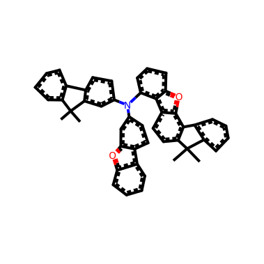 CC1(C)c2ccccc2-c2ccc(N(c3ccc4c(c3)oc3ccccc34)c3cccc4oc5c6c(ccc5c34)C(C)(C)c3ccccc3-6)cc21